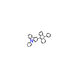 C1=CC2=C(c3ccc4c(c3)c3ccccc3n4C3=CCCC=C3)c3ccccc3C(c3ccccc3)C2C=C1